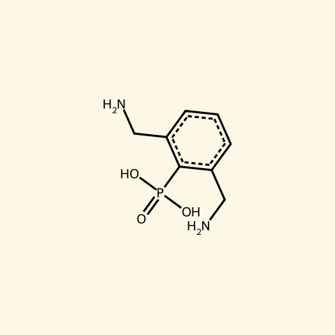 NCc1cccc(CN)c1P(=O)(O)O